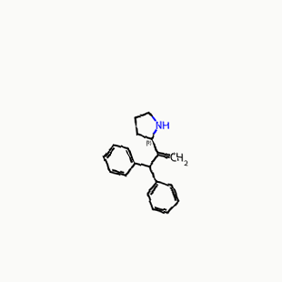 C=C(C(c1ccccc1)c1ccccc1)[C@H]1CCCN1